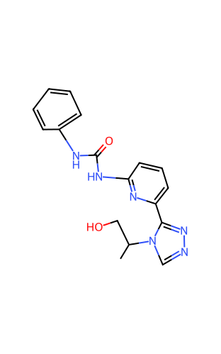 CC(CO)n1cnnc1-c1cccc(NC(=O)Nc2ccccc2)n1